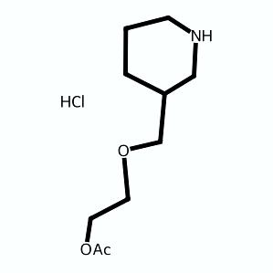 CC(=O)OCCOCC1CCCNC1.Cl